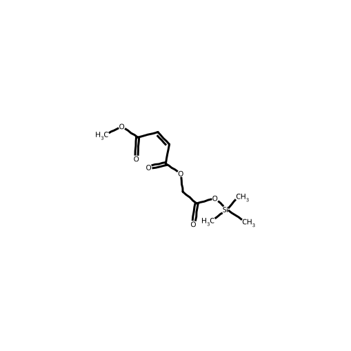 COC(=O)/C=C\C(=O)OCC(=O)O[Si](C)(C)C